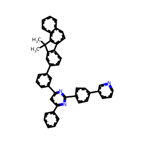 CC1(C)c2cc(-c3cccc(-c4cc(-c5ccccc5)nc(-c5ccc(-c6cccnc6)cc5)n4)c3)ccc2-c2ccc3ccccc3c21